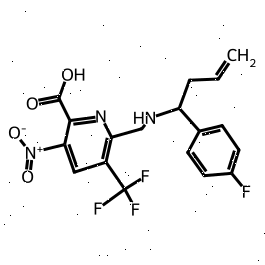 C=CCC(NCc1nc(C(=O)O)c([N+](=O)[O-])cc1C(F)(F)F)c1ccc(F)cc1